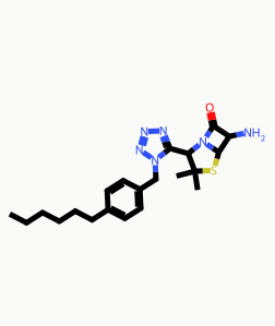 CCCCCCc1ccc(Cn2nnnc2C2N3C(=O)C(N)C3SC2(C)C)cc1